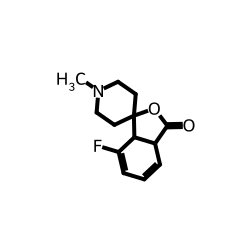 CN1CCC2(CC1)OC(=O)C1C=CC=C(F)C12